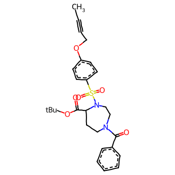 CC#CCOc1ccc(S(=O)(=O)N2CCN(C(=O)c3ccccc3)CCC2C(=O)OC(C)(C)C)cc1